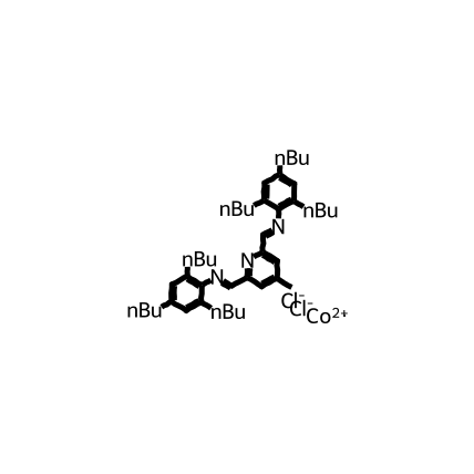 CCCCc1cc(CCCC)c(N=Cc2cc(C)cc(C=Nc3c(CCCC)cc(CCCC)cc3CCCC)n2)c(CCCC)c1.[Cl-].[Cl-].[Co+2]